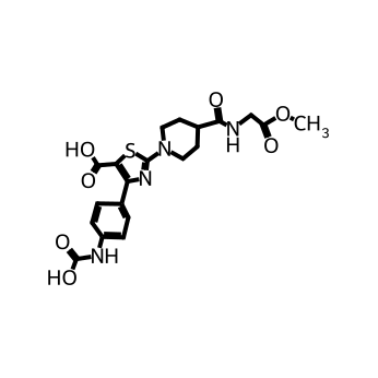 COC(=O)CNC(=O)C1CCN(c2nc(-c3ccc(NC(=O)O)cc3)c(C(=O)O)s2)CC1